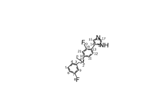 C[Si](C)(c1cccc(F)c1)c1ccc(-c2cnc[nH]2)c(F)c1